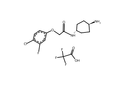 N[C@H]1CC[C@H](NC(=O)COc2ccc(Cl)c(F)c2)CC1.O=C(O)C(F)(F)F